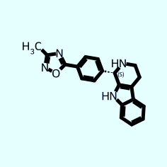 Cc1noc(-c2ccc([C@@H]3NCCc4c3[nH]c3ccccc43)cc2)n1